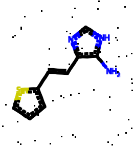 Nc1[nH]cnc1C=Cc1cccs1